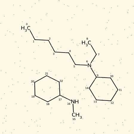 CCCCCCN(CC)C1CCCCC1.CNC1CCCCC1